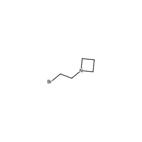 BrCCN1CCC1